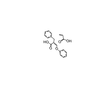 C=CC(=O)O.O=C(O)C(=COc1ccccc1)Cc1ccccc1